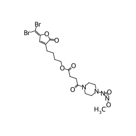 COn1on1N1CCN(C(=O)CCC(=O)OCCCCC2=CC(=C(Br)Br)OC2=O)CC1